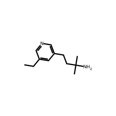 CCc1cncc(CCC(C)(C)N)c1